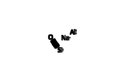 O=[Si].[Al].[Na]